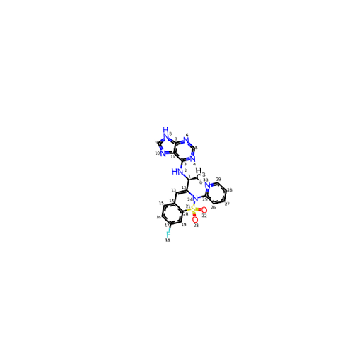 C[C@H](Nc1ncnc2[nH]cnc12)C1=Cc2ccc(F)cc2S(=O)(=O)N1c1ccccn1